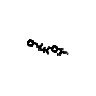 CC(C)(NC(=O)OCc1ccccc1)C(=O)Oc1ccc(NC(=N)N)cc1